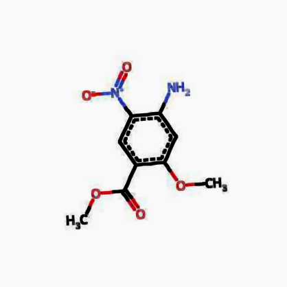 COC(=O)c1cc([N+](=O)[O-])c(N)cc1OC